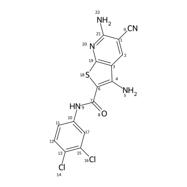 N#Cc1cc2c(N)c(C(=O)Nc3ccc(Cl)c(Cl)c3)sc2nc1N